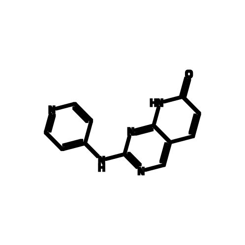 O=c1ccc2cnc(Nc3ccncc3)nc2[nH]1